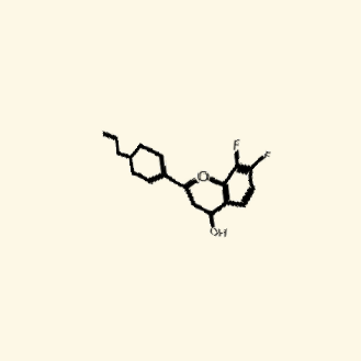 CCCC1CCC(C2CC(O)c3ccc(F)c(F)c3O2)CC1